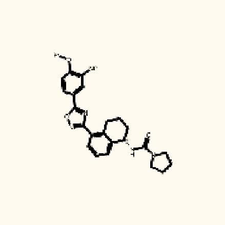 [C-]#[N+]c1cc(-c2nc(-c3cccc4c3CCC[C@@H]4NC(=O)N3CCCC3)no2)ccc1OC(C)C